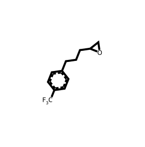 FC(F)(F)c1ccc(CCCC2CO2)cc1